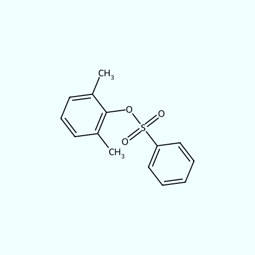 Cc1cccc(C)c1OS(=O)(=O)c1ccccc1